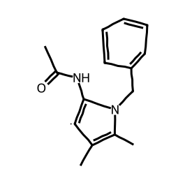 CC(=O)Nc1[c]c(C)c(C)n1Cc1ccccc1